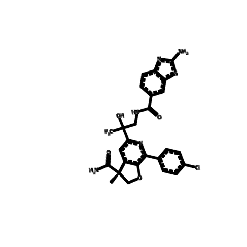 C[C@]1(C(N)=O)COc2c1cc(C(O)(CNC(=O)c1ccc3nc(N)sc3c1)C(F)(F)F)nc2-c1ccc(Cl)cc1